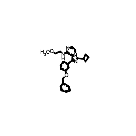 COCCNc1nccn2c(C3CCC3)nc(-c3cccc(OCc4ccccc4)c3)c12